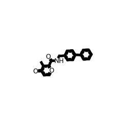 Cc1c(C(=O)NCc2ccc(-c3ccccc3)cc2)occc1=O